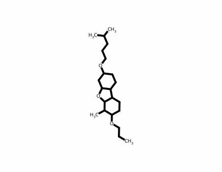 CCCOC1CCC2C3CCC(OCCCC(C)C)CC3OC2C1C